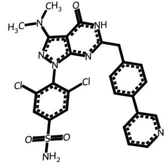 CN(C)c1nn(-c2c(Cl)cc(S(N)(=O)=O)cc2Cl)c2nc(Cc3ccc(-c4cccnc4)cc3)[nH]c(=O)c12